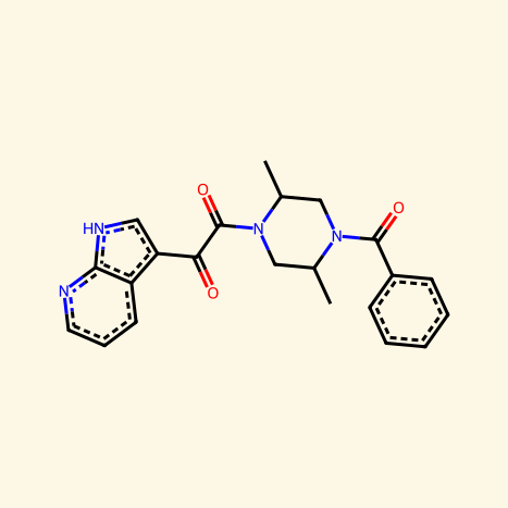 CC1CN(C(=O)c2ccccc2)C(C)CN1C(=O)C(=O)c1c[nH]c2ncccc12